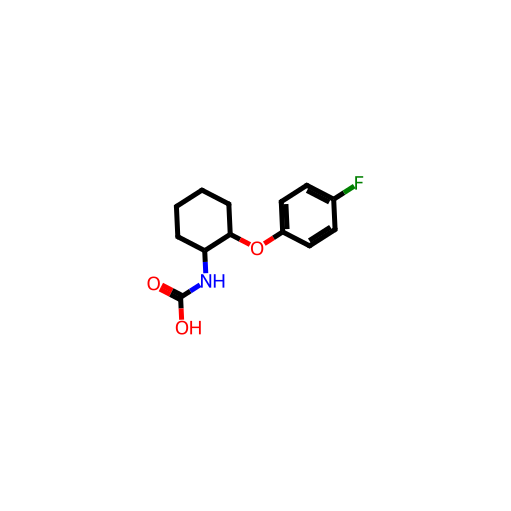 O=C(O)NC1CCCCC1Oc1ccc(F)cc1